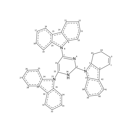 C1=Cc2c(n(C3N=C(n4c5ccccc5c5ccccc54)C=C(n4c5ccccc5c5ccccc54)N3)c3ccccc23)CC1